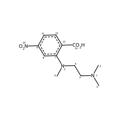 CN(C)CCN(C)c1cc([N+](=O)[O-])ccc1C(=O)O